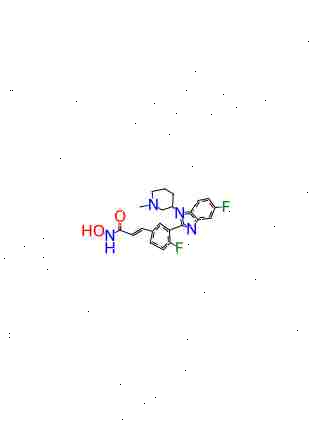 CN1CCC[C@@H](n2c(-c3cc(C=CC(=O)NO)ccc3F)nc3cc(F)ccc32)C1